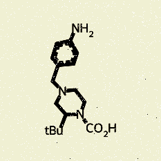 CC(C)(C)C1CN(Cc2ccc(N)cc2)CCN1C(=O)O